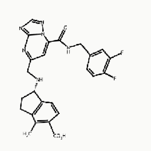 Cc1c(C(=O)O)ccc2c1CC[C@@H]2NCc1cc(C(=O)NCc2ccc(F)c(F)c2)n2ncnc2n1